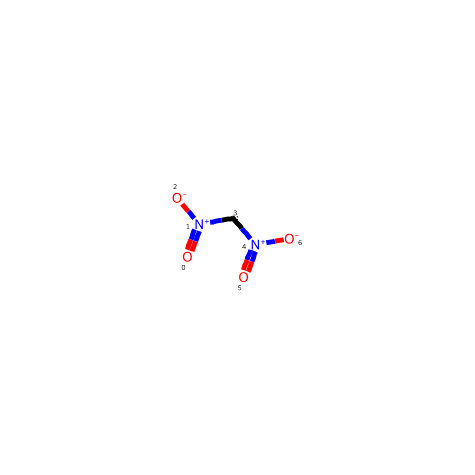 O=[N+]([O-])[C][N+](=O)[O-]